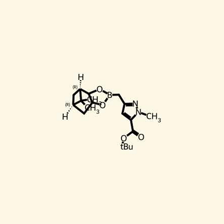 Cn1nc(CB2OC3C[C@H]4C[C@@H](C3O2)C4(C)C)cc1C(=O)OC(C)(C)C